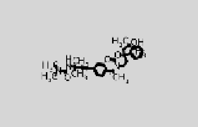 C[C@@H](c1ccc(C#CC(C)(C)NC(=O)N(C)C)cc1)N1CCC(CC(C)(C)O)(c2ccccc2)OC1=O